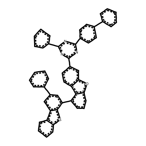 c1ccc(-c2ccc(-c3nc(-c4ccccc4)nc(-c4ccc5c(c4)oc4cccc(-c6cc(-c7ccccc7)cc7c6sc6ccccc67)c45)n3)cc2)cc1